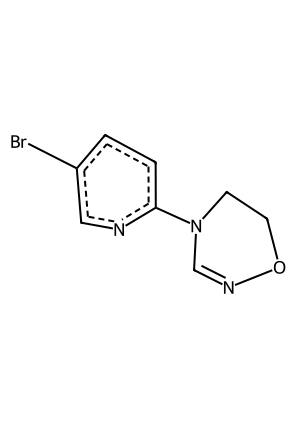 Brc1ccc(N2C=NOCC2)nc1